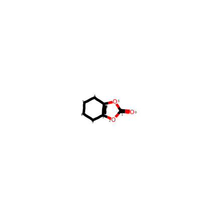 O=c1oc2c(o1)CCC[C]2